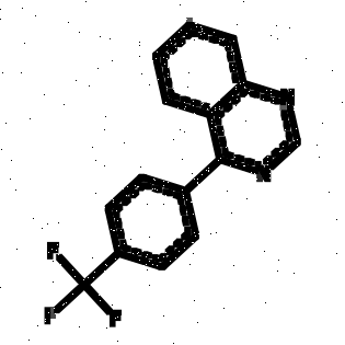 FC(F)(F)c1ccc(-c2ncnc3c[c]ccc23)cc1